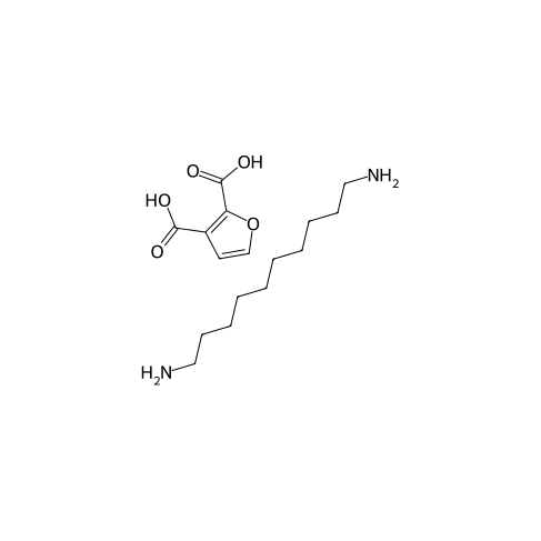 NCCCCCCCCCCN.O=C(O)c1ccoc1C(=O)O